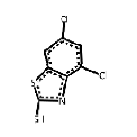 Sc1nc2c(Cl)cc(Cl)cc2s1